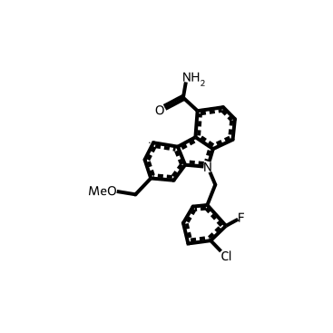 COCc1c[c]c2c3c(C(N)=O)cccc3n(Cc3cccc(Cl)c3F)c2c1